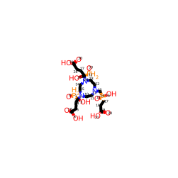 O=[PH2]C(O)(CCC(=O)O)N1CCN(CP(=O)(O)CCC(=O)O)CCN(C(O)(CCC(=O)O)[PH2]=O)CC1